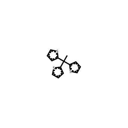 CC(c1cccs1)(c1cccs1)c1cccs1